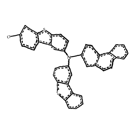 Clc1ccc2c(c1)sc1ccc(N(c3ccc4c(ccc5ccccc54)c3)c3ccc4sc5ccccc5c4c3)cc12